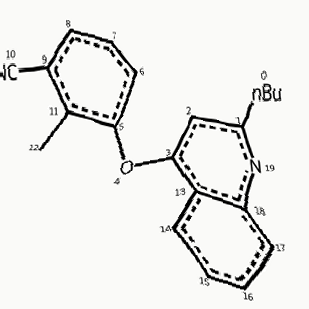 CCCCc1cc(Oc2cccc(C#N)c2C)c2ccccc2n1